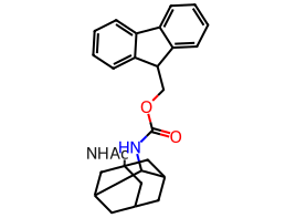 CC(=O)NC12CC3CC(C1)C(NC(=O)OCC1c4ccccc4-c4ccccc41)C(C3)C2